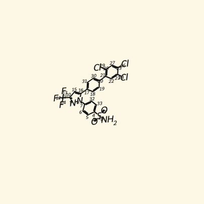 NS(=O)(=O)c1ccc(-n2nc(C(F)(F)F)cc2-c2ccc(-c3cc(Cl)c(Cl)cc3Cl)cc2)cc1